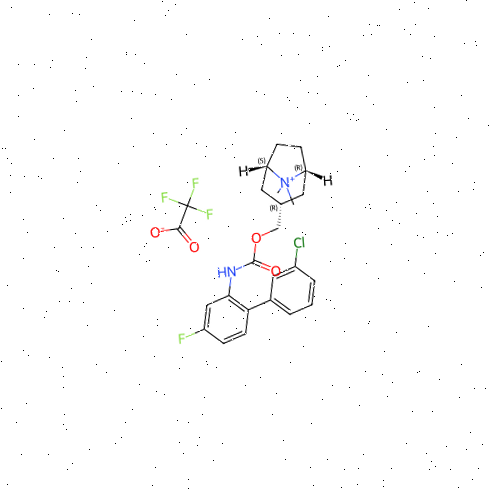 C[N+]1(C)[C@@H]2CC[C@H]1C[C@@H](COC(=O)Nc1cc(F)ccc1-c1cccc(Cl)c1)C2.O=C([O-])C(F)(F)F